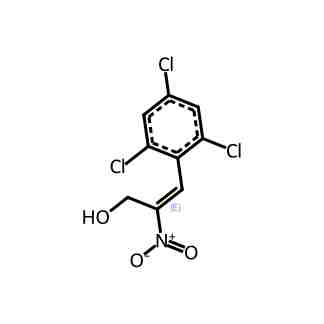 O=[N+]([O-])/C(=C/c1c(Cl)cc(Cl)cc1Cl)CO